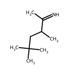 CC(=N)C(C)CC(C)(C)C